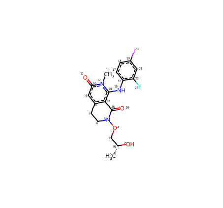 C[C@@H](O)CON1CCc2cc(=O)n(C)c(Nc3ccc(I)cc3F)c2C1=O